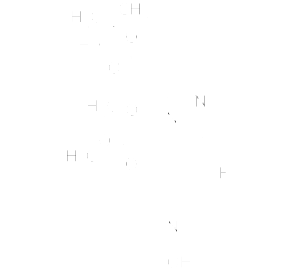 COC(=O)C(Cn1c(Cc2ccc(-c3cccc(O)n3)cc2F)nc2ccc(C(=O)OC(C)(C)C)cc21)OC